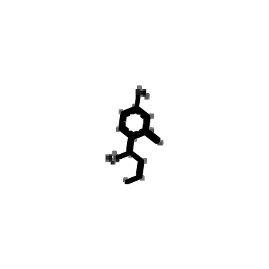 BC(/C=C\C)=c1\ccc(P)cc1=C